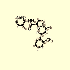 Cc1ccnnc1NC(=O)c1cnc2c(C)cc(-c3ccccc3C(F)(F)F)nn12